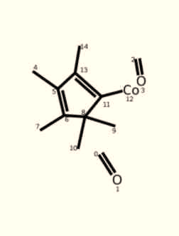 C=O.C=O.CC1=C(C)C(C)(C)[C]([Co])=C1C